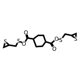 O=C(OSCC1CS1)C1CCC(C(=O)OSCC2CS2)CC1